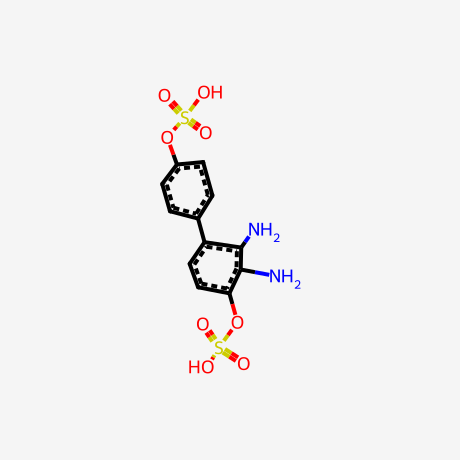 Nc1c(OS(=O)(=O)O)ccc(-c2ccc(OS(=O)(=O)O)cc2)c1N